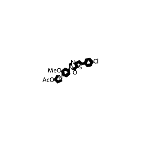 COc1cc(-n2cnc3cc(-c4ccc(Cl)cc4)sc3c2=O)ccc1N1CCC(OC(C)=O)C1